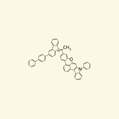 CC(c1ccc2c(c1)Oc1cc3c(c4cccc-2c14)c1ccccc1n3-c1ccccc1)[C@@H]1c2ccccc2-c2cc(-c3ccc(-c4ccccc4)cc3)ccc21